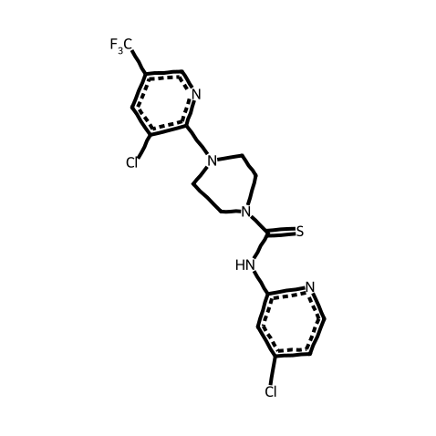 FC(F)(F)c1cnc(N2CCN(C(=S)Nc3cc(Cl)ccn3)CC2)c(Cl)c1